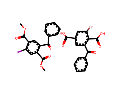 COC(=O)c1cc(C(=O)c2ccccc2)c(C(=O)OC)cc1I.O=C(O)c1cc(Br)c(C(=O)O)c(C(=O)c2ccccc2)c1